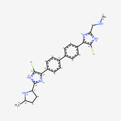 CC[C@H](C)NCc1nc(-c2ccc(-c3ccc(-c4nc(C5CCC(C)N5)[nH]c4F)cc3)cc2)c(F)[nH]1